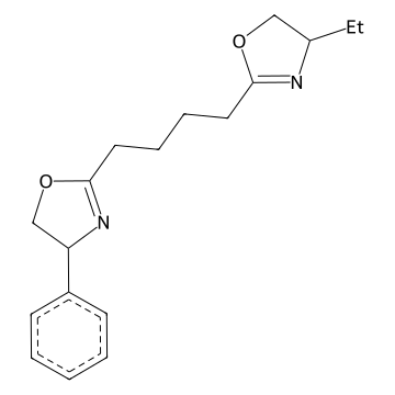 CCC1COC(CCCCC2=NC(c3ccccc3)CO2)=N1